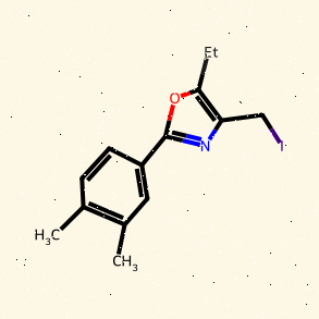 CCc1oc(-c2ccc(C)c(C)c2)nc1CI